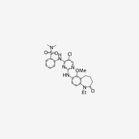 CCN1C(=O)CCCc2c1ccc(Nc1ncc(Cl)c(Nc3ccccc3S(=O)(=O)N(C)C)n1)c2OC